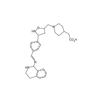 O=C(O)CC1CCN(CC2CC(c3ccc(C=NC4NCCc5ccccc54)cc3)NO2)CC1